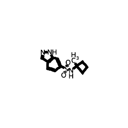 CC1(NS(=O)(=O)c2ccc3cn[nH]c3c2)CCC1